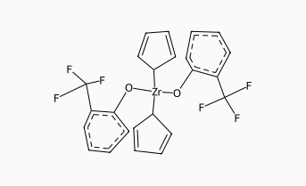 FC(F)(F)c1ccccc1[O][Zr]([O]c1ccccc1C(F)(F)F)([CH]1C=CC=C1)[CH]1C=CC=C1